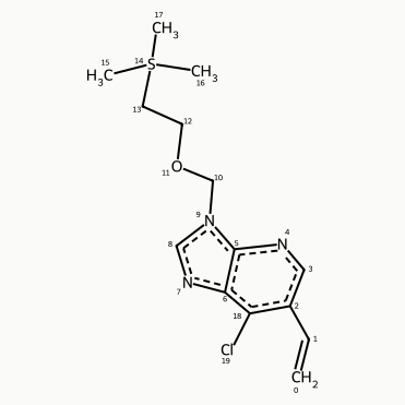 C=Cc1cnc2c(ncn2COCCS(C)(C)C)c1Cl